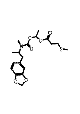 CSCCC(=O)OC(C)OC(=O)N(C)C(C)Cc1ccc2c(c1)OCO2